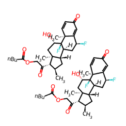 CCCCC(=O)OCC(=O)[C@H]1[C@H](C)C[C@H]2[C@@H]3C[C@H](F)C4=CC(=O)C=C[C@]4(C)[C@@]3(F)[C@@H](O)C[C@@]21C.CCCCC(=O)OCC(=O)[C@H]1[C@H](C)C[C@H]2[C@@H]3C[C@H](F)C4=CC(=O)C=C[C@]4(C)[C@@]3(F)[C@@H](O)C[C@@]21C